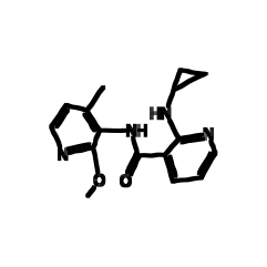 COc1nccc(C)c1NC(=O)c1cccnc1NC1CC1